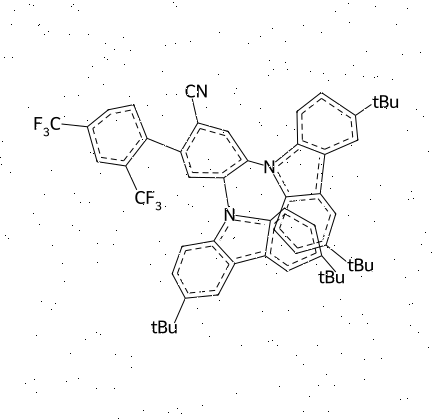 CC(C)(C)c1ccc2c(c1)c1cc(C(C)(C)C)ccc1n2-c1cc(C#N)c(-c2ccc(C(F)(F)F)cc2C(F)(F)F)cc1-n1c2ccc(C(C)(C)C)cc2c2cc(C(C)(C)C)ccc21